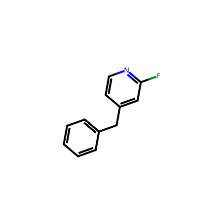 Fc1cc(Cc2c[c]ccc2)ccn1